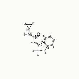 CC1(C)Cc2ccccc2C1=CC(=O)NC1CC1